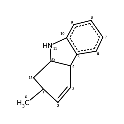 CC1C=CC2c3ccccc3NC2C1